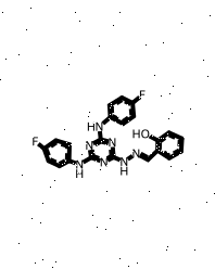 Oc1ccccc1C=NNc1nc(Nc2ccc(F)cc2)nc(Nc2ccc(F)cc2)n1